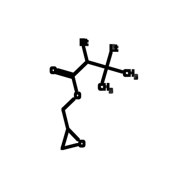 CCC(C(=O)OCC1CO1)C(C)(C)CC